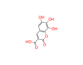 O=C(O)c1cc2cc(O)c(O)c(O)c2oc1=O